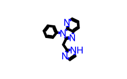 c1ccc(-n2c(Cc3ncc[nH]3)nc3cccnc32)cc1